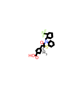 CC1(Cc2ccc(C(=O)O)cc2)Sc2ccccc2N(Cc2ccccc2C(F)(F)F)C1=O